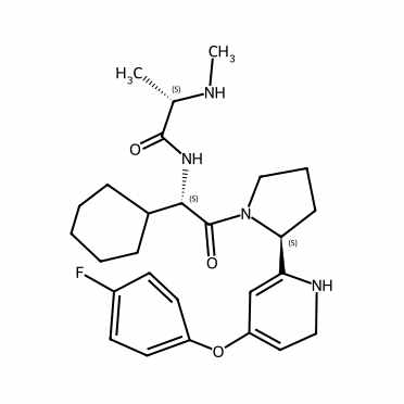 CN[C@@H](C)C(=O)N[C@H](C(=O)N1CCC[C@H]1C1=CC(Oc2ccc(F)cc2)=CCN1)C1CCCCC1